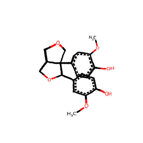 COc1cc(C2OCC3COCC32c2ccc(O)c(OC)c2)ccc1O